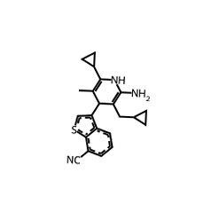 CC1=C(C2CC2)NC(N)=C(CC2CC2)C1c1csc2c(C#N)cccc12